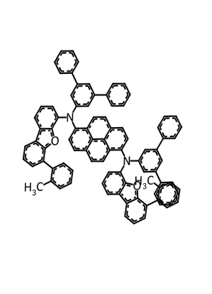 Cc1ccccc1-c1cccc2c1oc1c(N(c3cc(-c4ccccc4)cc(-c4ccccc4)c3)c3ccc4ccc5c(N(c6cc(-c7ccccc7)cc(-c7ccccc7)c6)c6cccc7c6oc6c(-c8ccccc8C)cccc67)ccc6ccc3c4c65)cccc12